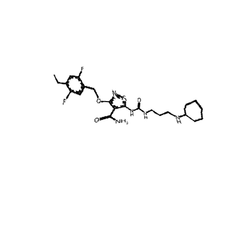 CCc1cc(F)c(COc2nsc(NC(=O)NCCCNC3CCCCC3)c2C(N)=O)cc1F